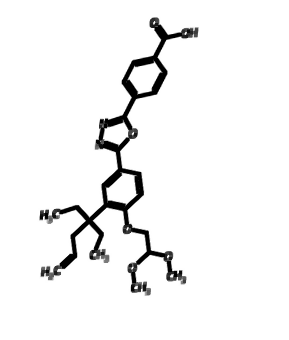 C=CCC(CC)(CC)c1cc(-c2nnc(-c3ccc(C(=O)O)cc3)o2)ccc1OCC(OC)OC